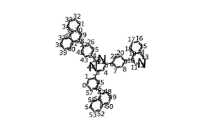 c1cc(-c2cc(-c3ccc(-c4cncc5ccccc45)cc3)nc(-c3ccc(-c4cc5ccccc5c5ccccc45)cc3)n2)cc(-c2cccc3ccccc23)c1